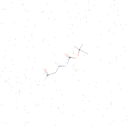 CC(C)(C)OC(=O)N[C@H](F)CC(=O)O